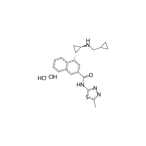 Cc1nnc(NC(=O)c2cc([C@@H]3C[C@H]3NCC3CC3)c3ccccc3c2)s1.Cl.Cl